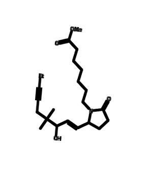 CCC#CCC(C)(C)C(O)C=CC1CCC(=O)N1CCCCCCC(=O)OC